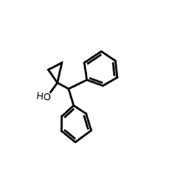 OC1(C(c2ccccc2)c2ccccc2)CC1